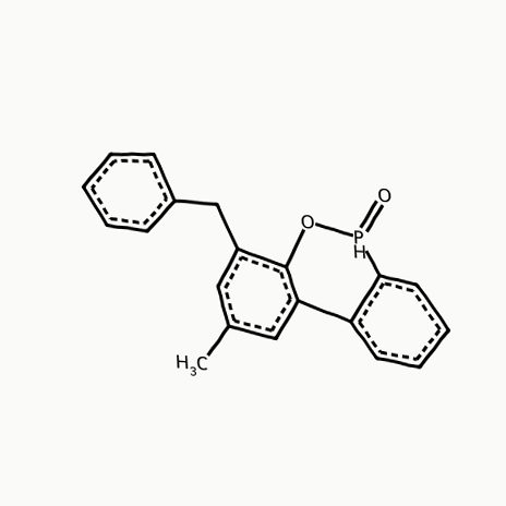 Cc1cc(Cc2ccccc2)c2c(c1)-c1ccccc1[PH](=O)O2